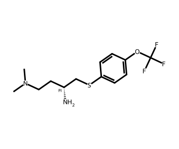 CN(C)CC[C@@H](N)CSc1ccc(OC(F)(F)F)cc1